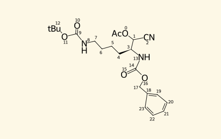 CC(=O)OC(C#N)[C@H](CCCCNC(=O)OC(C)(C)C)NC(=O)OCc1ccccc1